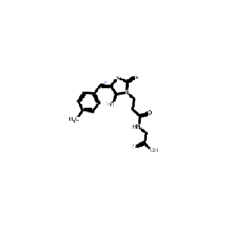 Cc1ccc(/C=C2/SC(=S)N(CCC(=O)NCC(=O)O)C2O)cc1